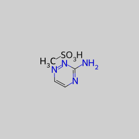 CS(=O)(=O)O.Nc1nccnn1